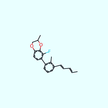 C/C=C/C=C/c1cccc(-c2ccc3c(c2F)OC(C)CO3)c1C